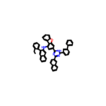 CCc1ccccc1-c1cc2ccccc2cc1Nc1cc(C2=NC(c3ccc4ccccc4c3)=NC(c3cccc(-c4ccccc4)c3)N2)cc2oc3ccccc3c12